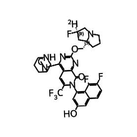 [2H][C@]1(F)CN2CCC[C@@]2(COc2nc(N3CC4CCC3CN4)c3cc(C(F)(F)F)n(-c4cc(O)cc5ccc(F)c(F)c45)c(=O)c3n2)C1